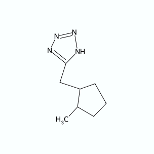 CC1CCCC1Cc1nnn[nH]1